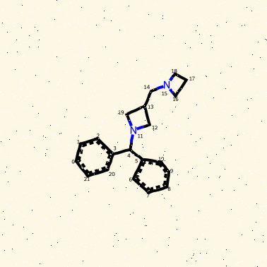 c1ccc(C(c2ccccc2)N2CC(CN3CCC3)C2)cc1